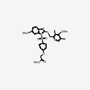 COC(=O)COc1ccc(S(=O)(=O)n2c(SCc3ncc(C)c(OC)c3C)nc3ccc(OC)cc32)cc1